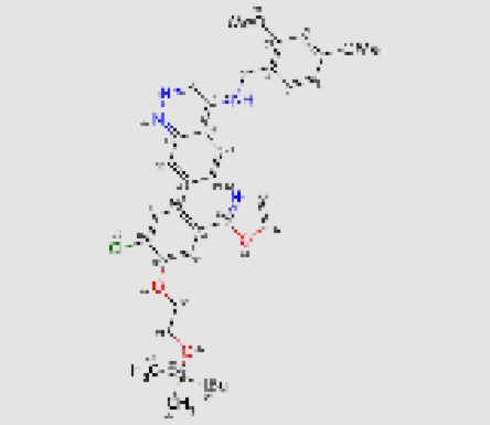 COc1ccc(CNc2cnnc3cc(-c4cc(Cl)c(OCCO[Si](C)(C)C(C)(C)C)cc4-c4ncco4)ccc23)c(OC)c1